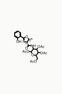 CC(=O)OCC1OC(OC(C)=O)C(NC(=O)[C@H]2N=C(c3ccccc3O)O[C@H]2C)C(OC(C)=O)C1OC(C)=O